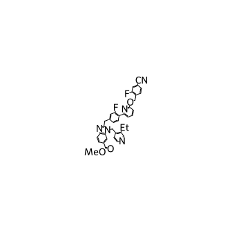 CCc1cnccc1Cn1c(Cc2ccc(-c3cccc(OCc4ccc(C#N)cc4F)n3)c(F)c2)nc2ccc(C(=O)OC)cc21